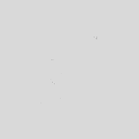 NCc1ccc(N2OSO2)cc1